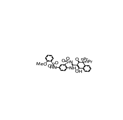 CCCC1(CCC)C(=O)C(C2=NS(=O)(=O)c3cc(NS(=O)(=O)c4ccccc4OC)ccc3N2)=C(O)c2ccccc21